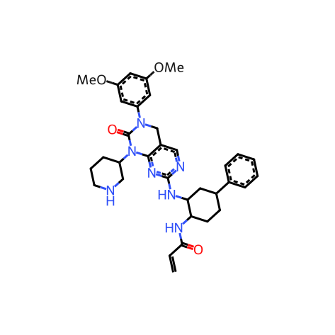 C=CC(=O)NC1CCC(c2ccccc2)CC1Nc1ncc2c(n1)N(C1CCCNC1)C(=O)N(c1cc(OC)cc(OC)c1)C2